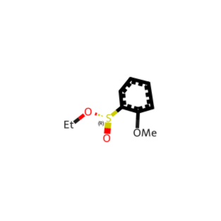 CCO[S@@](=O)c1ccccc1OC